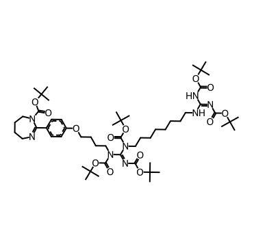 CC(C)(C)OC(=O)/N=C(\NCCCCCCCCN(C(=O)OC(C)(C)C)/C(=N\C(=O)OC(C)(C)C)N(CCCCOc1ccc(C2=NCCCCN2C(=O)OC(C)(C)C)cc1)C(=O)OC(C)(C)C)NC(=O)OC(C)(C)C